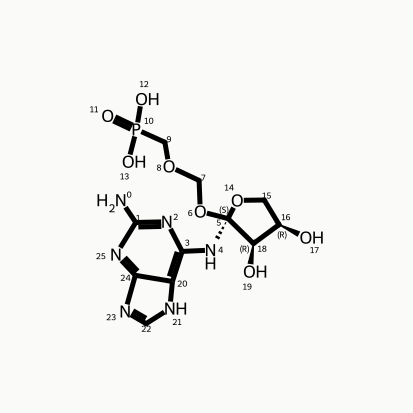 Nc1nc(N[C@]2(OCOCP(=O)(O)O)OC[C@@H](O)[C@H]2O)c2[nH]cnc2n1